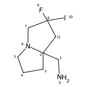 NCC12CCCN1CC(F)(I)C2